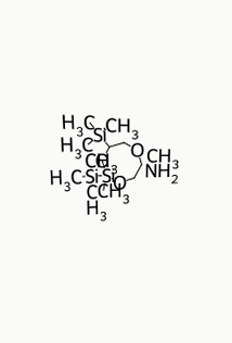 CN.C[Si](C)(C)C1COCCO[Si](C)([Si](C)(C)C)O1